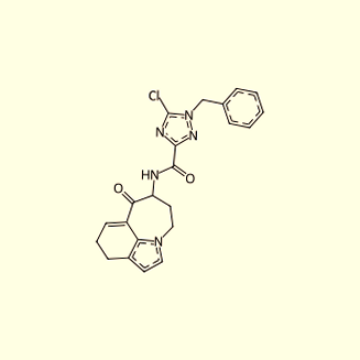 O=C(NC1CCn2ccc3c2C(=CCC3)C1=O)c1nc(Cl)n(Cc2ccccc2)n1